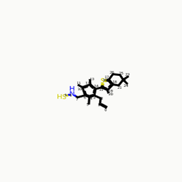 C=CCc1c(C)c(CNS)c(C)c(C)c1-c1sc2c(c1C)CC(C)(C)CC2